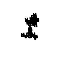 CC(C)(C)COc1ccc(C2CCC(NC(=O)c3[nH]c(=O)[nH]c(=O)c3N)C2)cc1